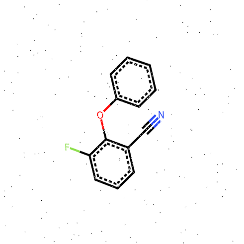 N#Cc1cccc(F)c1Oc1c[c]ccc1